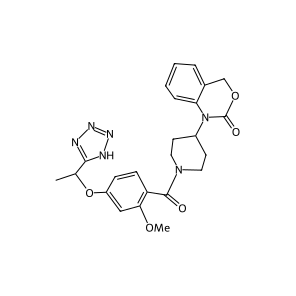 COc1cc(OC(C)c2nnn[nH]2)ccc1C(=O)N1CCC(N2C(=O)OCc3ccccc32)CC1